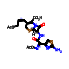 CC(=O)OC/C=C\C1=C(C(=O)O)N2C(=O)[C@@H](NC(=O)/C(=N\OC(C)=O)c3csc(N)n3)[C@@H]2SC1